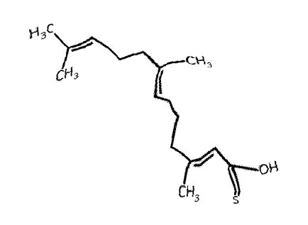 CC(C)=CCCC(C)=CCCC(C)=CC(O)=S